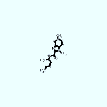 C=C/C=C\C(C)NC(=O)c1nc2c(n1C)CCN(C)C2